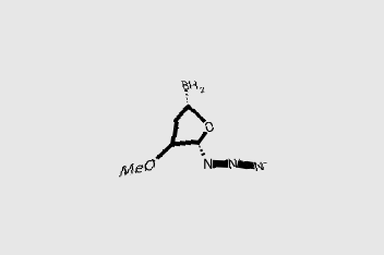 B[C@H]1CC(OC)[C@@H](N=[N+]=[N-])O1